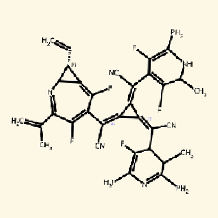 C=C[C@@H]1C2=C(F)C(/C(C#N)=C3\C(=C(C#N)C4=C(F)C(C)NC(P)=C4F)\C3=C(/C#N)C3C(F)=C(P)N=C(P)C3C)=C(F)C(C(=C)C)=NC21